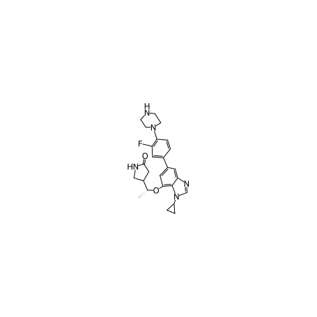 C[C@@H](Oc1cc(-c2ccc(N3CCNCC3)c(F)c2)cc2ncn(C3CC3)c12)C1CNC(=O)C1